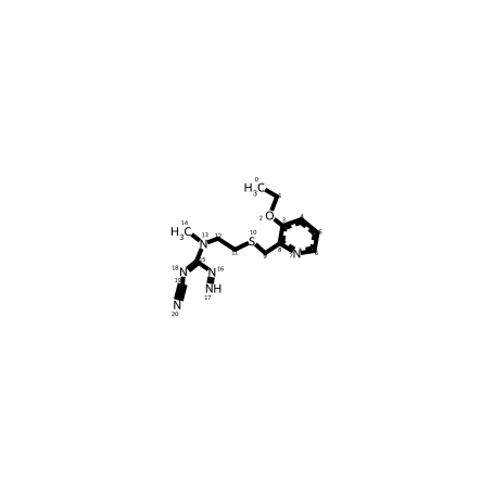 CCOc1cccnc1CSCCN(C)C(N=N)=NC#N